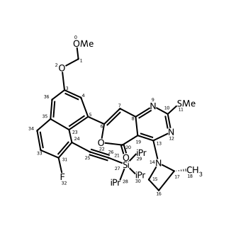 COCOc1cc(-c2cc3nc(SC)nc(N4CC[C@H]4C)c3c(=O)o2)c2c(C#C[Si](C(C)C)(C(C)C)C(C)C)c(F)ccc2c1